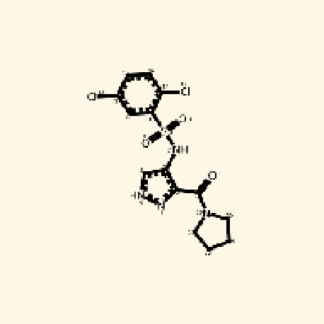 O=C(c1n[nH]cc1NS(=O)(=O)c1cc(Cl)ccc1Cl)N1CCCC1